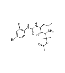 CCC[C@H](NC(=O)Nc1ccc(Br)cc1F)C(=O)C(N)C(C)(C)OC(C)=O